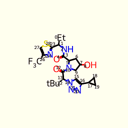 CCC(NC(=O)C1CC(O)CN1C(=O)[C@@H](n1cc(C2CC2)nn1)C(C)(C)C)c1nc(C(F)(F)F)cs1